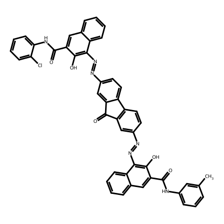 Cc1cccc(NC(=O)c2cc3ccccc3c(N=Nc3ccc4c(c3)C(=O)c3cc(N=Nc5c(O)c(C(=O)Nc6ccccc6Cl)cc6ccccc56)ccc3-4)c2O)c1